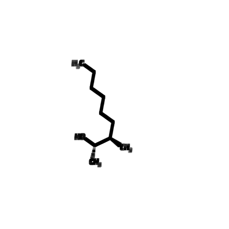 CCCCCC[C@@H](C)[C@H](C)O